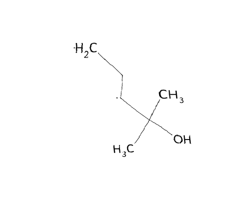 [CH2]C[CH]C(C)(C)O